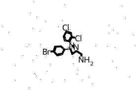 NCC1=NN(c2ccc(Cl)cc2Cl)[C@H](C2C=CC(Br)=CC2)C1